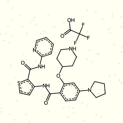 O=C(Nc1ccsc1C(=O)Nc1ccccn1)c1ccc(N2CCCC2)cc1OC1CCNCC1.O=C(O)C(F)(F)F